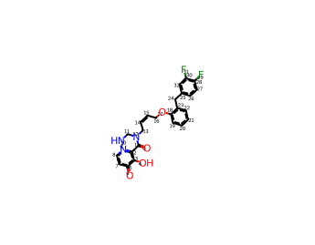 O=C1c2c(O)c(=O)ccn2NCN1C/C=C\COc1ccccc1Cc1ccc(F)c(F)c1